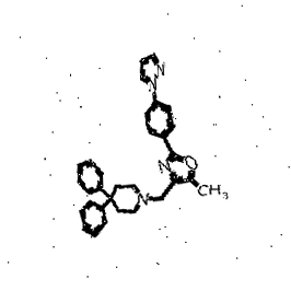 Cc1oc(-c2ccc(-n3cccn3)cc2)nc1CN1CCC(c2ccccc2)(c2ccccc2)CC1